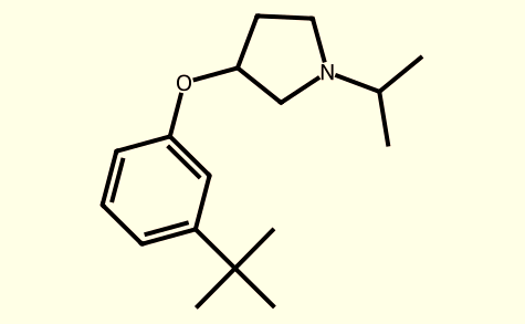 CC(C)N1CCC(Oc2cccc(C(C)(C)C)c2)C1